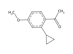 COc1ccc(C(C)=O)c(C2CC2)c1